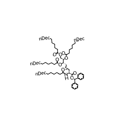 CCCCCCCCCCCCCCCC(=O)N[C@@H](CSC[C@H](OC(=O)CCCCCCCCCCCCCCC)[C@@H](COC(=O)CCCCCCCCCCCCCCC)OC(=O)CCCCCCCCCCCCCCC)C(=O)OC(c1ccccc1)c1ccccc1